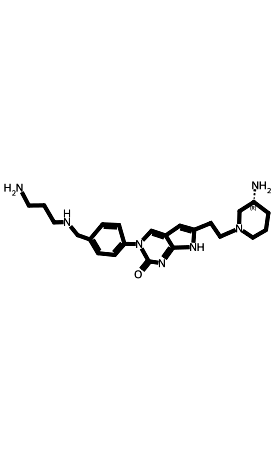 NCCCNCc1ccc(-n2cc3cc(CCN4CCC[C@@H](N)C4)[nH]c3nc2=O)cc1